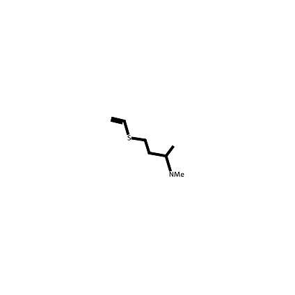 C=CSCCC(C)NC